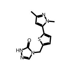 Cc1cc(-c2ccc(Cn3cn[nH]c3=O)s2)n(C)n1